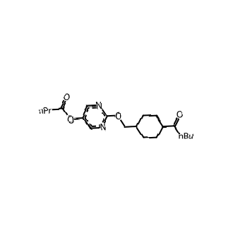 CCCCC(=O)C1CCC(COc2ncc(OC(=O)CCC)cn2)CC1